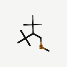 CSCC(C(C)(C)C)C(C)(C)C